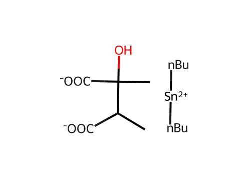 CC(C(=O)[O-])C(C)(O)C(=O)[O-].CCC[CH2][Sn+2][CH2]CCC